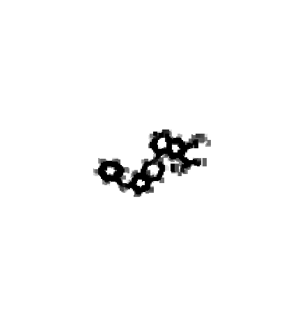 COc1cc2nncc(N3CCc4ccc(Oc5ccccc5)cc4C3)c2cc1C(C)O